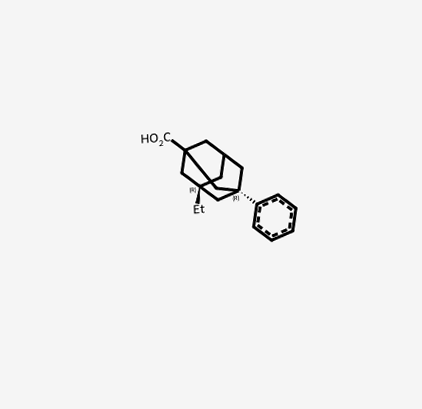 CC[C@]12CC3CC(C(=O)O)(C1)C[C@@](c1ccccc1)(C3)C2